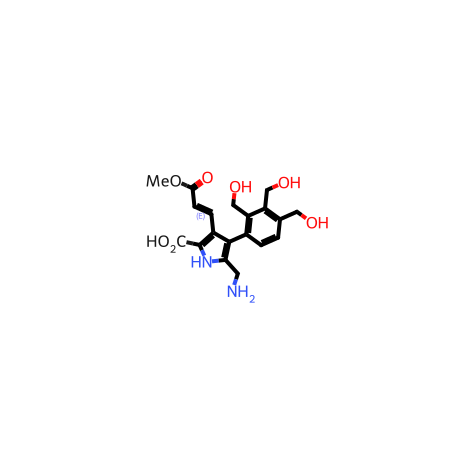 COC(=O)/C=C/c1c(C(=O)O)[nH]c(CN)c1-c1ccc(CO)c(CO)c1CO